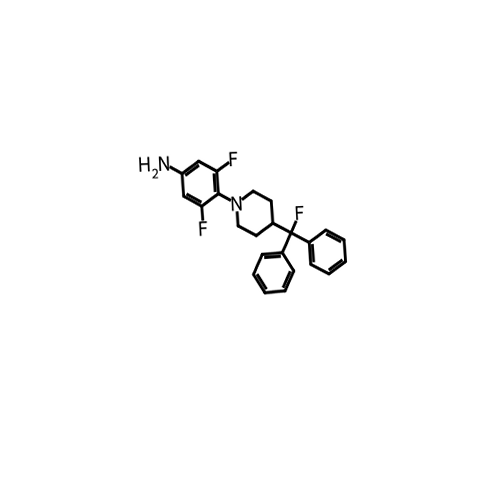 Nc1cc(F)c(N2CCC(C(F)(c3ccccc3)c3ccccc3)CC2)c(F)c1